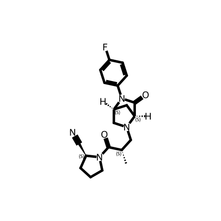 C[C@@H](CN1C[C@@H]2C[C@H]1C(=O)N2c1ccc(F)cc1)C(=O)N1CCC[C@H]1C#N